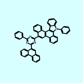 c1ccc(-c2nc(-c3cc4ccccc4c4ccccc34)nc(-c3cc4c5ccccc5c5c(c6ccccc6n5-c5ccccc5)c4c4ccccc34)n2)cc1